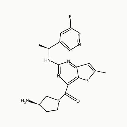 Cc1cc2nc(N[C@@H](C)c3cncc(F)c3)nc(C(=O)N3CC[C@@H](N)C3)c2s1